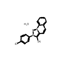 O.OC1=C2C=Cc3ccccc3N2[N]N1c1ccc(Cl)cc1